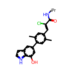 Cc1cc(-c2cc(O)c3[nH]ccc3c2)c(C)cc1/C=C(\Cl)C(=O)NC(C)C